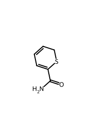 NC(=O)C1=CC=CCS1